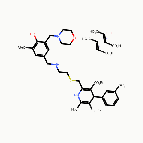 CCOC(=O)C1=C(C)NC(CSCCNCc2cc(CN3CCOCC3)c(O)c(OC)c2)=C(C(=O)OCC)C1c1cccc([N+](=O)[O-])c1.O.O=C(O)/C=C/C(=O)O.O=C(O)/C=C/C(=O)O